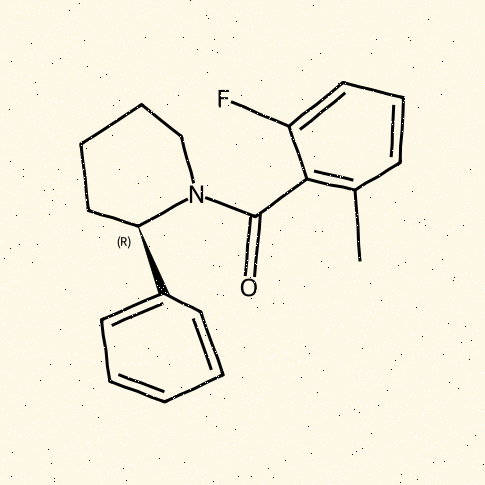 Cc1cccc(F)c1C(=O)N1CCCC[C@@H]1c1ccccc1